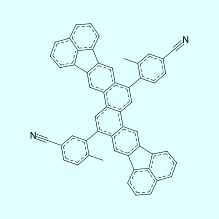 Cc1cc(C#N)ccc1-c1cc2c3cc4c(cc3c(-c3cc(C#N)ccc3C)cc2c2cc3c(cc12)-c1cccc2cccc-3c12)-c1cccc2cccc-4c12